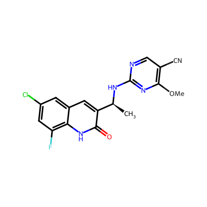 COc1nc(N[C@@H](C)c2cc3cc(Cl)cc(F)c3[nH]c2=O)ncc1C#N